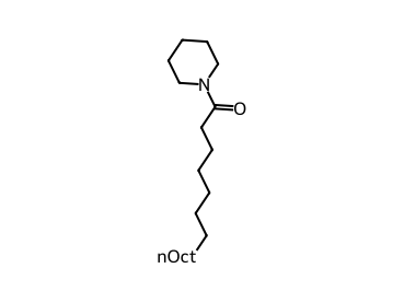 CCCCCCCCCCCCCCC(=O)N1CCCCC1